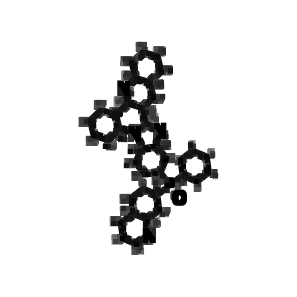 O=P(c1ccccc1)(c1ccc2cccnc2c1)c1ccc2c(c1)nc1c3cc4ccccc4nc3c3ccccc3n21